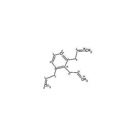 C=CCc1cc[o+]c(CC=C)c1CC=C